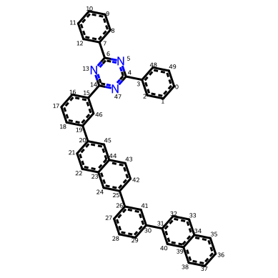 c1ccc(-c2nc(-c3ccccc3)nc(-c3cccc(-c4ccc5cc(-c6cccc(-c7ccc8ccccc8c7)c6)ccc5c4)c3)n2)cc1